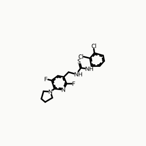 Fc1cc(CNC(=S)Nc2cccc(Cl)c2Cl)c(F)nc1N1CCCC1